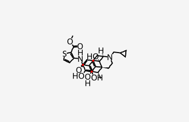 COC(=O)c1sccc1NC(=O)C1=C(O)[C@H](C)[C@]23CCN(CC4CC4)[C@H](Cc4ccc(O)c(O)c42)[C@]3(O)C1